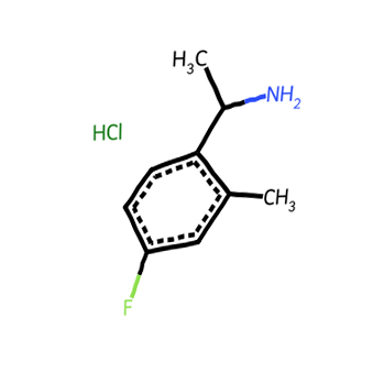 Cc1cc(F)ccc1C(C)N.Cl